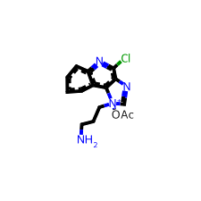 CC(=O)O[N+]1(CCCN)C=Nc2c(Cl)nc3ccccc3c21